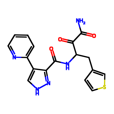 NC(=O)C(=O)C(Cc1ccsc1)NC(=O)c1n[nH]cc1-c1ccccn1